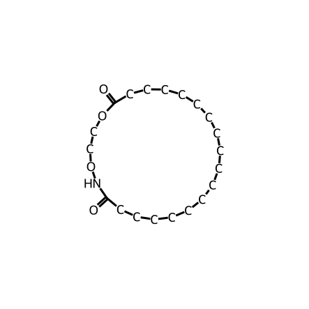 O=C1CCCCCCCCCCCCCCCCC(=O)OCCON1